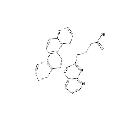 C1=CC2=C(CC1)CCc1c2ccc2ccccc12.O=C(O)CCCc1ccc2cccnc2n1